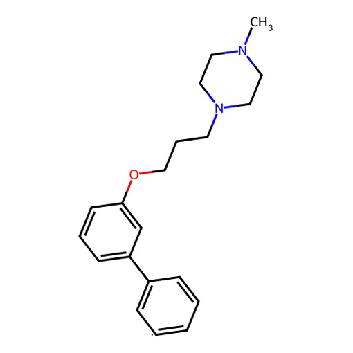 CN1CCN(CCCOc2cccc(-c3c[c]ccc3)c2)CC1